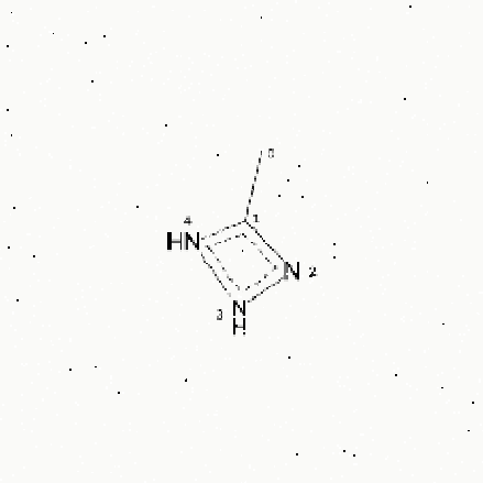 Cc1n[nH][nH]1